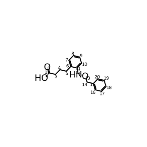 O=C(O)CCCc1ccccc1NOCc1ccccc1